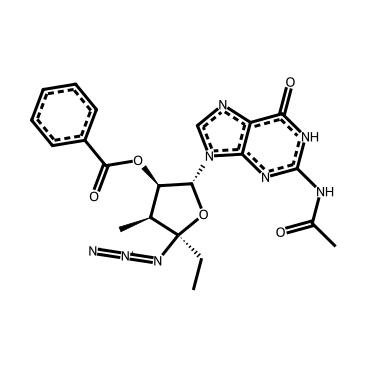 CC[C@@]1(N=[N+]=[N-])O[C@@H](n2cnc3c(=O)[nH]c(NC(C)=O)nc32)[C@H](OC(=O)c2ccccc2)[C@@H]1C